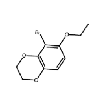 CCOc1ccc2c(c1Br)OCCO2